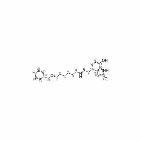 O=c1[nH]c2c(O)ccc(CCNCCCCCCOCc3ccccc3)c2s1